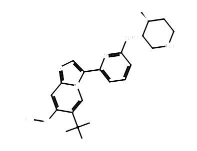 COc1cc2ncc(-c3cccc(N[C@H]4CNCC[C@@H]4F)n3)n2cc1C(C)(C)O